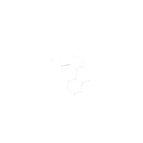 COC(=O)C1C(c2cccnc2Br)=NOC1C(=O)O